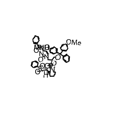 COc1ccc(C(OCC(Cn2ccc(NC(=O)c3ccccc3)nc2=O)O[P@@]2O[C@H](CS(=O)(=O)c3ccccc3)[C@@H]3CCCN32)(c2ccccc2)c2ccc(OC)cc2)cc1